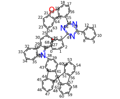 c1ccc(-c2nc(-c3ccccc3)nc(-c3cccc4oc5ccc(-c6ccc7c(c6)c6ccccc6n7-c6ccc7c(c6)-c6ccccc6C76c7ccccc7-c7ccccc76)cc5c34)n2)cc1